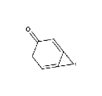 O=C1C=C2[C]C2=CC1